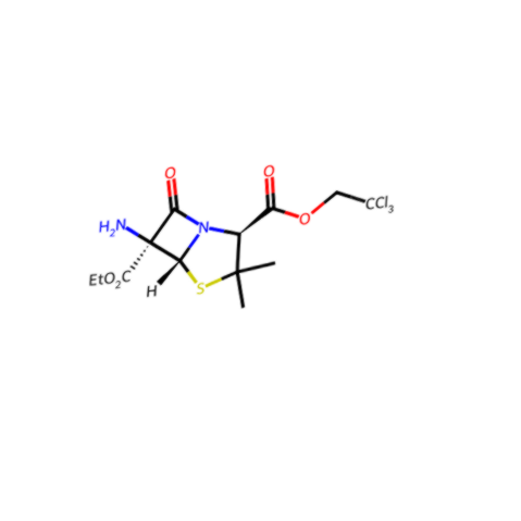 CCOC(=O)[C@]1(N)C(=O)N2[C@@H](C(=O)OCC(Cl)(Cl)Cl)C(C)(C)S[C@@H]21